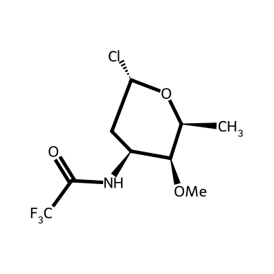 CO[C@H]1[C@@H](NC(=O)C(F)(F)F)C[C@H](Cl)O[C@H]1C